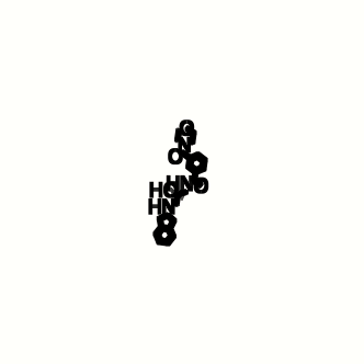 O=C(NC[C@@H](O)CNC1Cc2ccccc2C1)c1cccc(C(=O)N2CCOCC2)c1